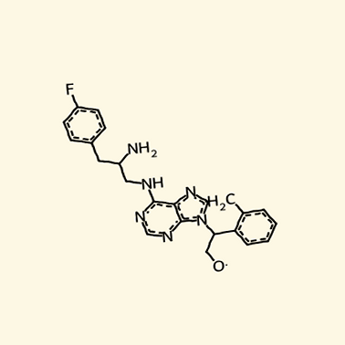 [CH2]c1ccccc1C(C[O])n1cnc2c(NCC(N)Cc3ccc(F)cc3)ncnc21